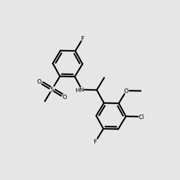 COc1c(Cl)cc(F)cc1C(C)Nc1cc(F)ccc1S(C)(=O)=O